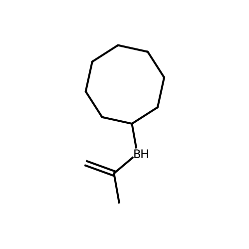 C=C(C)BC1CCCCCCC1